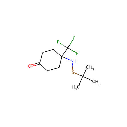 CC(C)(C)SNC1(C(F)(F)F)CCC(=O)CC1